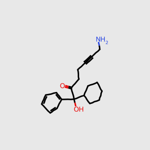 NCC#CCCC(=O)C(O)(c1ccccc1)C1CCCCC1